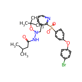 CC(C)CC(=O)NN(Cc1cccnc1S(=O)(=O)c1ccc(Oc2ccc(Br)cc2)cc1)OC(C)(C)C